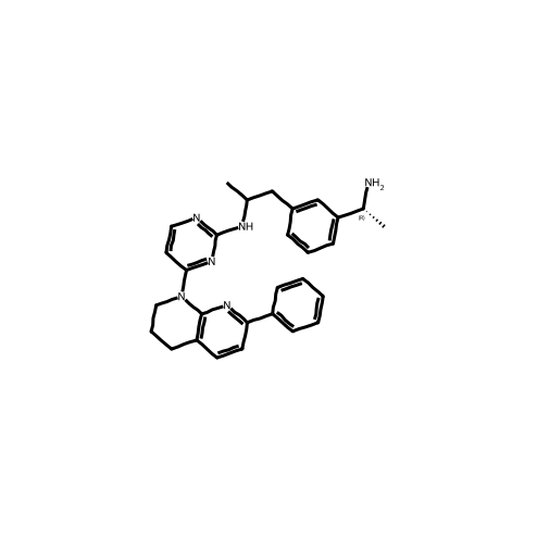 CC(Cc1cccc([C@@H](C)N)c1)Nc1nccc(N2CCCc3ccc(-c4ccccc4)nc32)n1